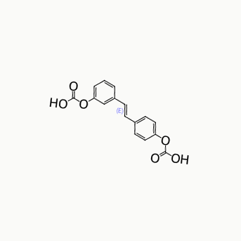 O=C(O)Oc1ccc(/C=C/c2cccc(OC(=O)O)c2)cc1